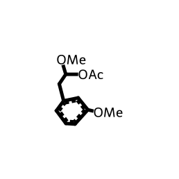 COc1cccc(CC(OC)OC(C)=O)c1